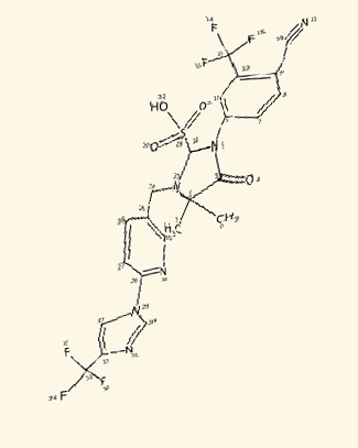 CC1(C)C(=O)N(c2ccc(C#N)c(C(F)(F)F)c2)C(S(=O)(=O)O)N1Cc1ccc(-n2cnc(C(F)(F)F)c2)nc1